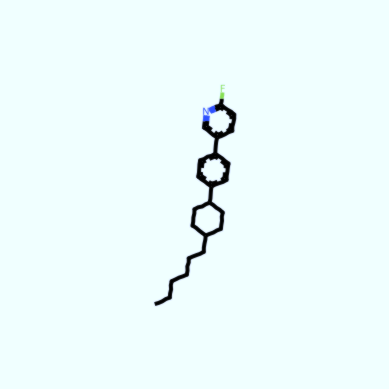 CCCCCCC1CCC(c2ccc(-c3ccc(F)nc3)cc2)CC1